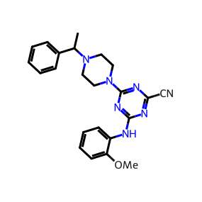 COc1ccccc1Nc1nc(C#N)nc(N2CCN(C(C)c3ccccc3)CC2)n1